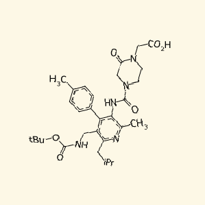 Cc1ccc(-c2c(CNC(=O)OC(C)(C)C)c(CC(C)C)nc(C)c2NC(=O)N2CCN(CC(=O)O)C(=O)C2)cc1